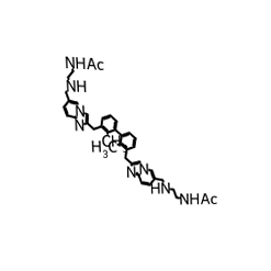 CC(=O)NCCNCc1ccc2nc(Cc3cccc(-c4cccc(Cc5cn6cc(CNCCNC(C)=O)ccc6n5)c4C)c3C)cn2c1